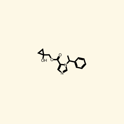 CC(c1ccccc1)n1cncc1C(=O)OCC1(O)CC1